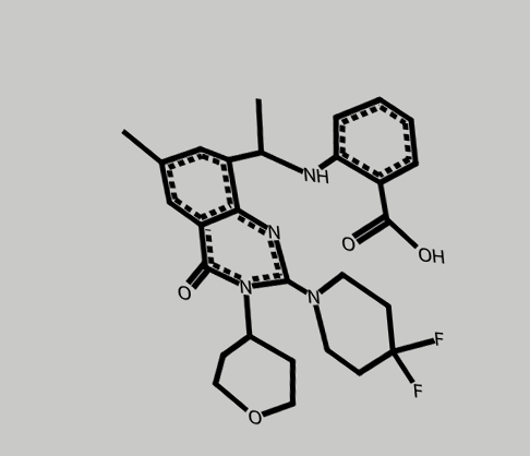 Cc1cc(C(C)Nc2ccccc2C(=O)O)c2nc(N3CCC(F)(F)CC3)n(C3CCOCC3)c(=O)c2c1